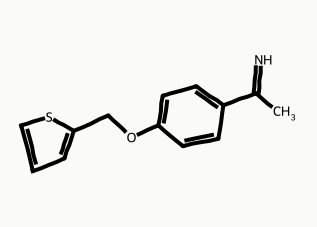 CC(=N)c1ccc(OCc2cccs2)cc1